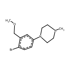 COCc1cc(N2CCN(C)CC2)ccc1Br